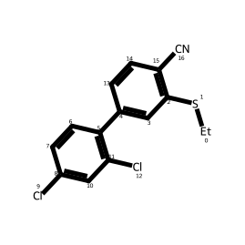 CCSc1cc(-c2ccc(Cl)cc2Cl)ccc1C#N